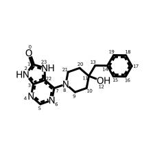 O=c1[nH]c2ncnc(N3CCC(O)(Cc4ccccc4)CC3)c2[nH]1